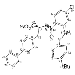 CC(C)(C)c1ccc(CNc2cc(Cl)ccc2C(=O)N[C@@H](Cc2ccc(-c3ccccc3)cc2)C(=O)O)cc1